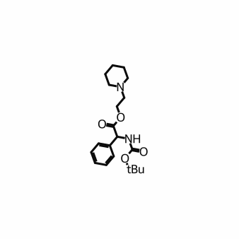 CC(C)(C)OC(=O)NC(C(=O)OCCN1CCCCC1)c1ccccc1